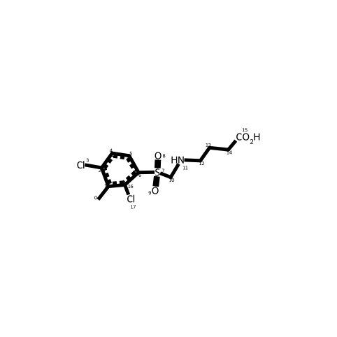 Cc1c(Cl)ccc(S(=O)(=O)CNCCCC(=O)O)c1Cl